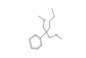 CCCCC(COC)(COC)c1ccccc1